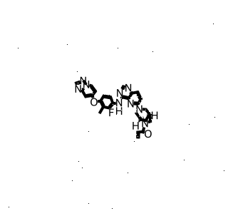 C=CC(=O)N1C[C@@H]2C[C@H]1CN(c1ccc3ncnc(Nc4ccc(Oc5ccn6ncnc6c5)c(C)c4F)c3n1)C2